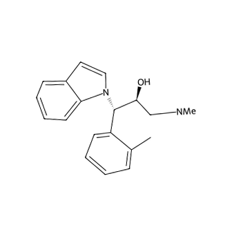 CNC[C@H](O)[C@H](c1ccccc1C)n1ccc2ccccc21